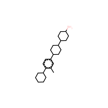 BC1CCC(C2CCC(c3ccc(C4CCCCC4)c(C)c3)CC2)CC1